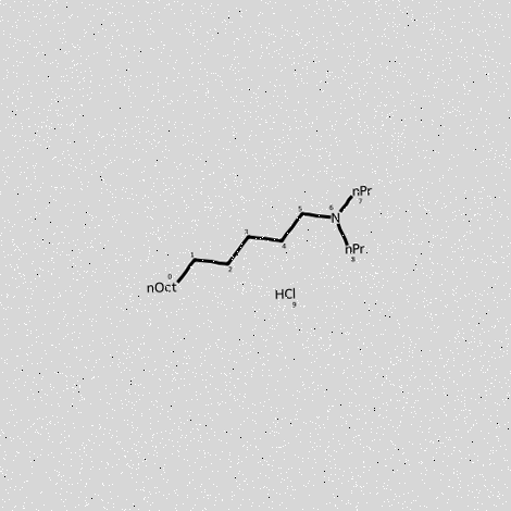 CCCCCCCCCCCCCN(CCC)CCC.Cl